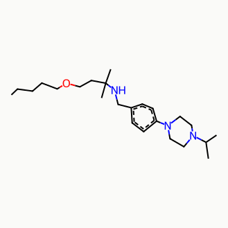 CCCCCOCCC(C)(C)NCc1ccc(N2CCN(C(C)C)CC2)cc1